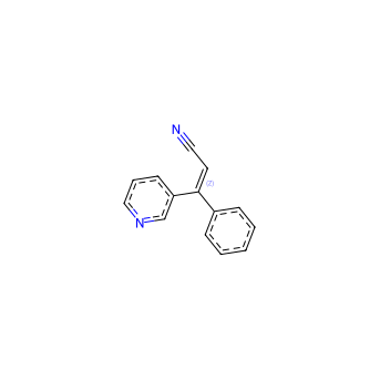 N#C/C=C(/c1ccccc1)c1cccnc1